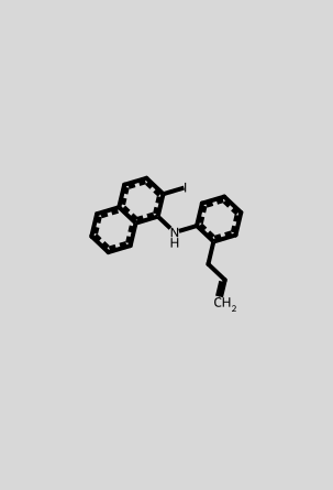 C=CCc1ccccc1Nc1c(I)ccc2ccccc12